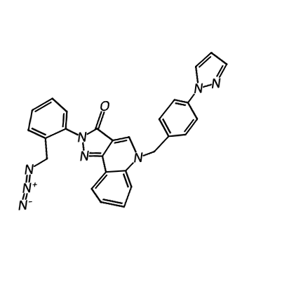 [N-]=[N+]=NCc1ccccc1-n1nc2c3ccccc3n(Cc3ccc(-n4cccn4)cc3)cc-2c1=O